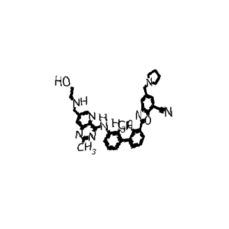 Cc1nc(Nc2cccc(-c3cccc(-c4nc5cc(CN6CCCC6)cc(C#N)c5o4)c3C)c2C)c2ncc(CNCCO)cc2n1